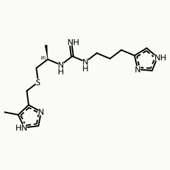 Cc1[nH]cnc1CSC[C@@H](C)NC(=N)NCCCc1c[nH]cn1